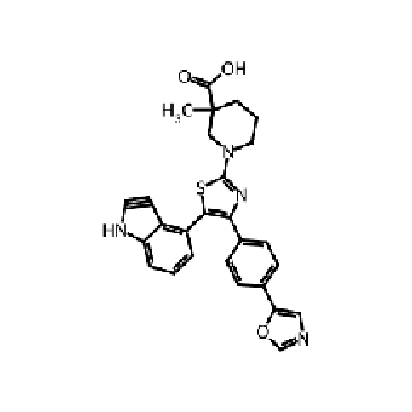 CC1(C(=O)O)CCCN(c2nc(-c3ccc(-c4cnco4)cc3)c(-c3cccc4[nH]c#cc34)s2)C1